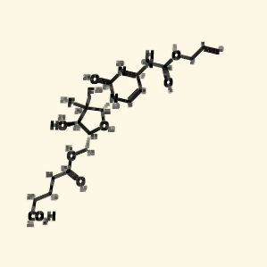 C=CCOC(=O)Nc1ccn([C@@H]2O[C@H](COC(=O)CCCC(=O)O)[C@@H](O)C2(F)F)c(=O)n1